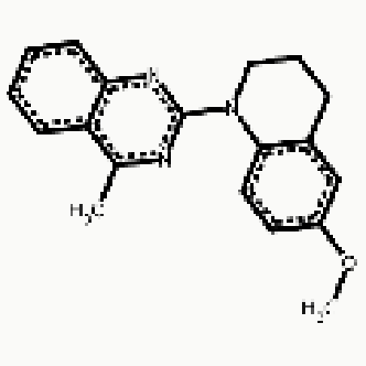 COc1ccc2c(c1)CCCN2c1nc(C)c2ccccc2n1